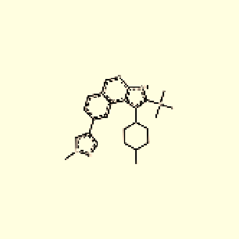 CC1CCC(c2c([Si](C)(C)C)[nH]c3ncc4ccc(-c5cnn(C)c5)cc4c23)CC1